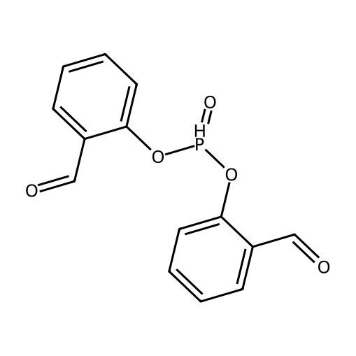 O=Cc1ccccc1O[PH](=O)Oc1ccccc1C=O